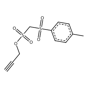 C#CCOS(=O)(=O)CS(=O)(=O)c1ccc(C)cc1